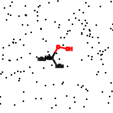 CCC[CH2][SnH]([CH2]CCC)[O]O